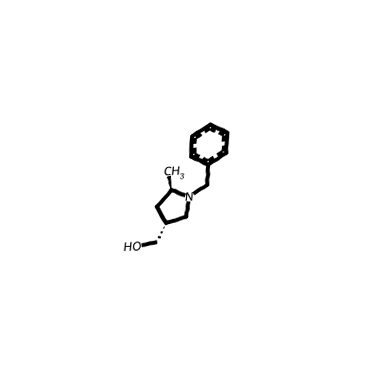 C[C@@H]1C[C@@H](CO)CN1Cc1ccccc1